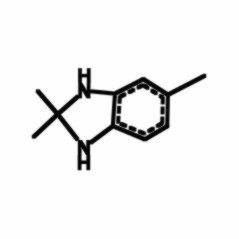 Cc1ccc2c(c1)NC(C)(C)N2